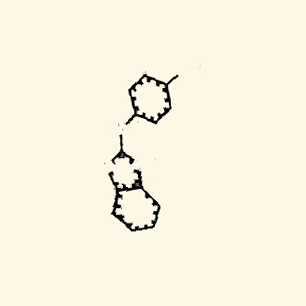 [CH2]c1ccc(Nc2nc3ccccc3o2)cc1